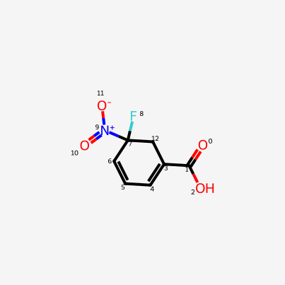 O=C(O)C1=CC=CC(F)([N+](=O)[O-])C1